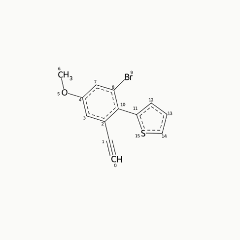 C#Cc1cc(OC)cc(Br)c1-c1cccs1